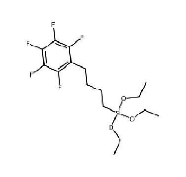 CCO[Si](CCCCc1c(F)c(F)c(F)c(F)c1F)(OCC)OCC